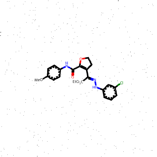 CCOC(=O)/C(=N\Nc1cccc(Cl)c1)C1=C(C(=O)Nc2ccc(OC)cc2)OCC1